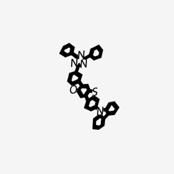 C1=CCCC(c2nc(-c3ccccc3)nc(-c3ccc4oc5cc6c(cc5c4c3)sc3cc(-n4c5ccccc5c5ccccc54)ccc36)n2)=C1